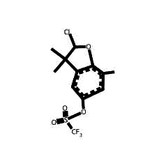 Cc1cc(OS(=O)(=O)C(F)(F)F)cc2c1OC(Cl)C2(C)C